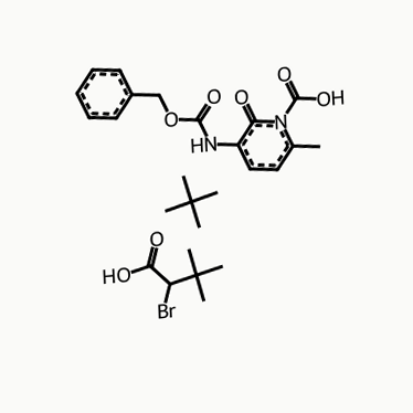 CC(C)(C)C.CC(C)(C)C(Br)C(=O)O.Cc1ccc(NC(=O)OCc2ccccc2)c(=O)n1C(=O)O